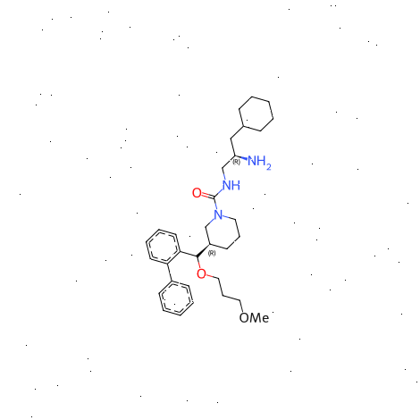 COCCCOC(c1ccccc1-c1ccccc1)[C@@H]1CCCN(C(=O)NC[C@H](N)CC2CCCCC2)C1